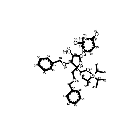 CC(C)[Si](OC[C@]1(COCc2ccccc2)O[C@@H](n2ccc(=O)[nH]c2=O)[C@H](O)[C@@H]1OCc1ccccc1)(C(C)C)C(C)C